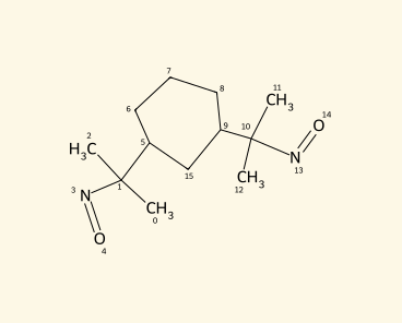 CC(C)(N=O)C1CCCC(C(C)(C)N=O)C1